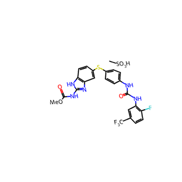 COC(=O)Nc1nc2cc(Sc3ccc(NC(=O)Nc4cc(C(F)(F)F)ccc4F)cc3)ccc2[nH]1.CS(=O)(=O)O